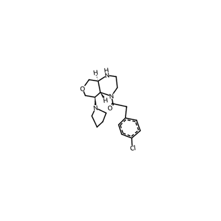 O=C(Cc1ccc(Cl)cc1)N1CCN[C@@H]2COC[C@H](N3CCCC3)[C@H]21